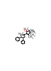 C=C(CC(c1ccccc1)C(C#N)c1ccccc1)C1=C(C)C(C)(C)C(C)(C)C1=O